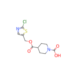 O=C(OCc1cnc(Cl)s1)C1CCN(C(=O)O)CC1